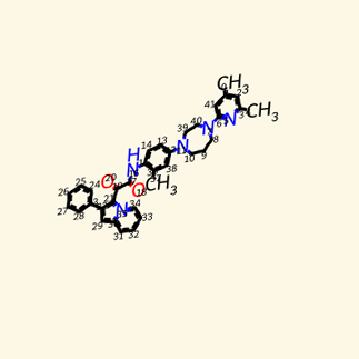 Cc1cc(C)nc(N2CCCN(c3ccc(NC(=O)C(=O)c4c(-c5ccccc5)cc5ccccn45)c(C)c3)CC2)c1